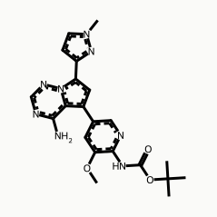 COc1cc(-c2cc(-c3ccn(C)n3)n3ncnc(N)c23)cnc1NC(=O)OC(C)(C)C